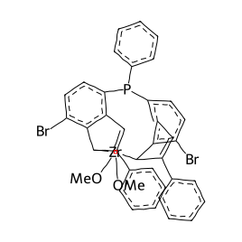 C[O][Zr]1([O]C)[CH]2C(c3ccccc3)=Cc3c(ccc(Br)c32)P(c2ccccc2)c2ccc(Br)c3c2C=C(c2ccccc2)[CH]31